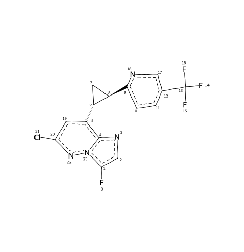 Fc1cnc2c([C@@H]3C[C@H]3c3ccc(C(F)(F)F)cn3)cc(Cl)nn12